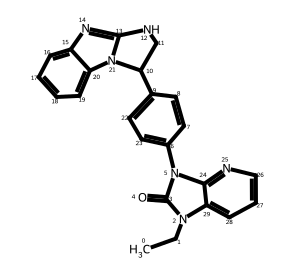 CCn1c(=O)n(-c2ccc(C3CNc4nc5ccccc5n43)cc2)c2ncccc21